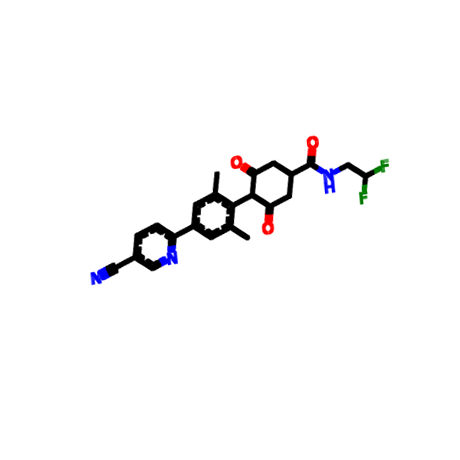 Cc1cc(-c2ccc(C#N)cn2)cc(C)c1C1C(=O)CC(C(=O)NCC(F)F)CC1=O